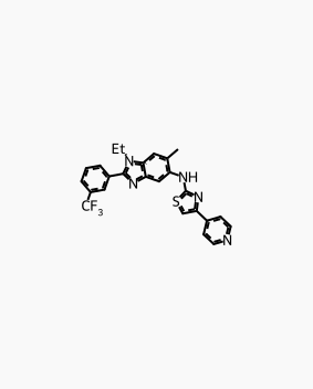 CCn1c(-c2cccc(C(F)(F)F)c2)nc2cc(Nc3nc(-c4ccncc4)cs3)c(C)cc21